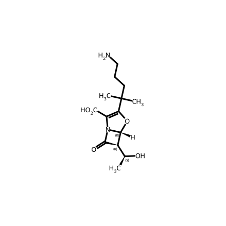 C[C@H](O)[C@H]1C(=O)N2C(C(=O)O)=C(C(C)(C)CCCN)O[C@H]12